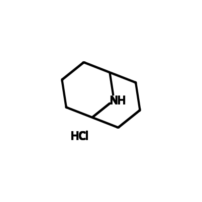 C1CC2CCCC(C1)N2.Cl